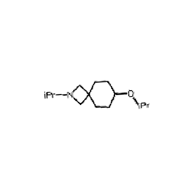 CC(C)OC1CCC2(CC1)CN(C(C)C)C2